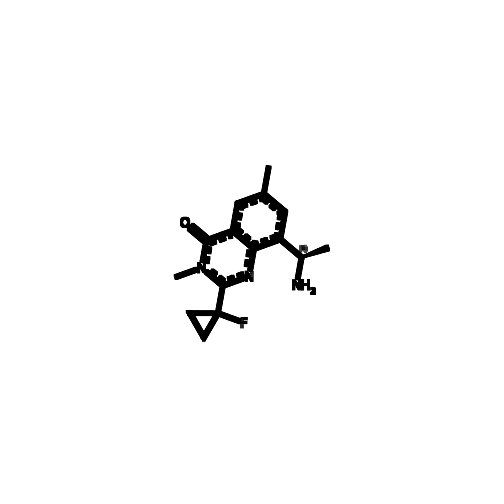 Cc1cc([C@@H](C)N)c2nc(C3(F)CC3)n(C)c(=O)c2c1